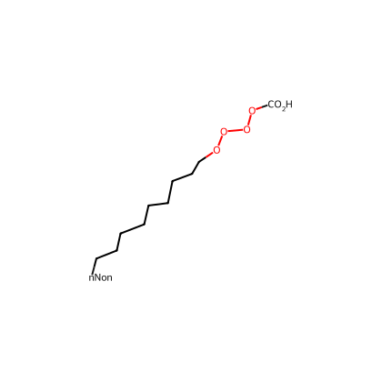 CCCCCCCCCCCCCCCCCCOOOOC(=O)O